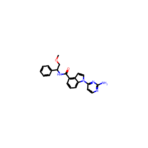 COCC(NC(=O)c1cccc2c1ccn2-c1ccnc(N)n1)c1ccccc1